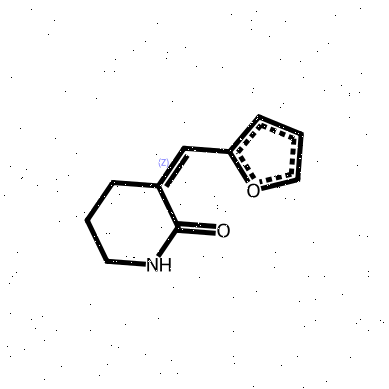 O=C1NCCC/C1=C/c1ccco1